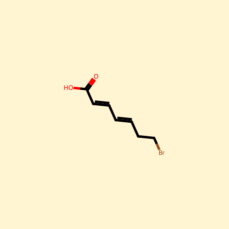 O=C(O)C=CC=CCCBr